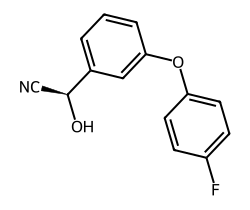 N#C[C@H](O)c1cccc(Oc2ccc(F)cc2)c1